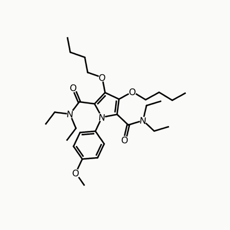 CCCCOc1c(OCCCC)c(C(=O)N(CC)CC)n(-c2ccc(OC)cc2)c1C(=O)N(CC)CC